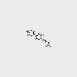 CN(C)CC#Cc1ccc(C2=CCNCC2)cc1F